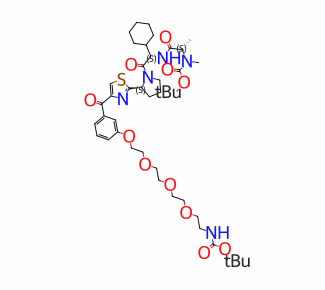 C[C@@H](C(=O)N[C@H](C(=O)N1CCC[C@H]1c1nc(C(=O)c2cccc(OCCOCCOCCOCCNC(=O)OC(C)(C)C)c2)cs1)C1CCCCC1)N(C)C(=O)OC(C)(C)C